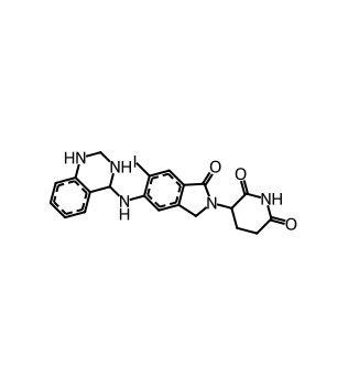 O=C1CCC(N2Cc3cc(NC4NCNc5ccccc54)c(I)cc3C2=O)C(=O)N1